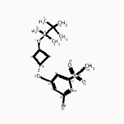 CC(C)(C)[Si](C)(C)O[C@H]1C[C@H](Oc2cc(Br)nc(S(C)(=O)=O)c2)C1